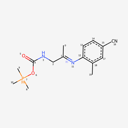 C/C(CNC(=O)O[PH](C)(C)C)=N\c1ccc(C#N)cc1C